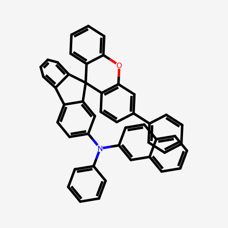 c1ccc(-c2ccc3c(c2)Oc2ccccc2C32c3ccccc3-c3ccc(N(c4ccccc4)c4ccc5ccccc5c4)cc32)cc1